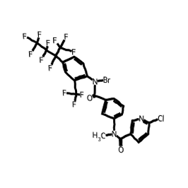 CN(C(=O)c1ccc(Cl)nc1)c1cccc(C(=O)N(Br)c2ccc(C(F)(C(F)(F)F)C(F)(F)C(F)(F)F)cc2C(F)(F)F)c1